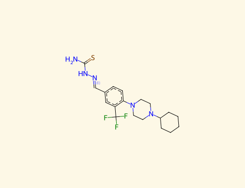 NC(=S)N/N=C/c1ccc(N2CCN(C3CCCCC3)CC2)c(C(F)(F)F)c1